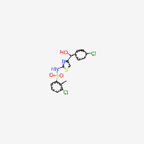 Cc1c(Cl)cccc1S(=O)(=O)Nc1nc(C(O)c2ccc(Cl)cc2)cs1